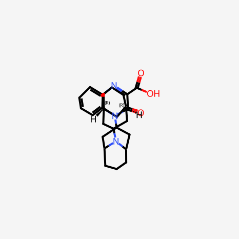 O=C(O)c1nc2ccccc2n(C2CC3CCCC(C2)N3C2C[C@@H]3CCC[C@@H](C2)C3)c1=O